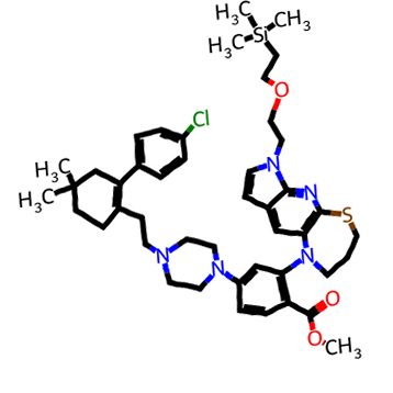 COC(=O)c1ccc(N2CCN(CCC3=C(c4ccc(Cl)cc4)CC(C)(C)CC3)CC2)cc1N1CCCSc2nc3c(ccn3CCOCC[Si](C)(C)C)cc21